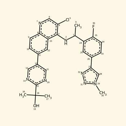 CC(Nc1c(Cl)cnc2ccc(-c3cnc(C(C)(C)O)nc3)cc12)c1cc(-c2cn(C)nn2)ccc1F